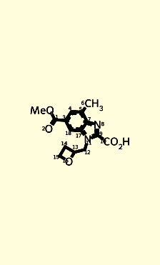 COC(=O)c1cc(C)c2nc(C(=O)O)n(CC3CCO3)c2c1